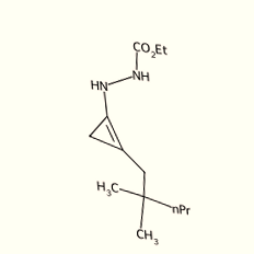 CCCC(C)(C)CC1=C(NNC(=O)OCC)C1